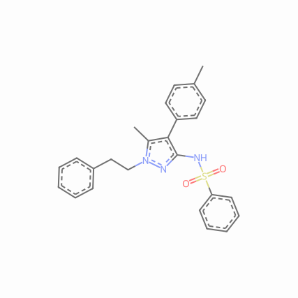 Cc1ccc(-c2c(NS(=O)(=O)c3ccccc3)nn(CCc3ccccc3)c2C)cc1